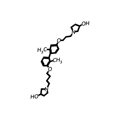 Cc1cc(OCCCN2CCC(O)C2)ccc1-c1cccc(OCCCCN2CCC(O)C2)c1C